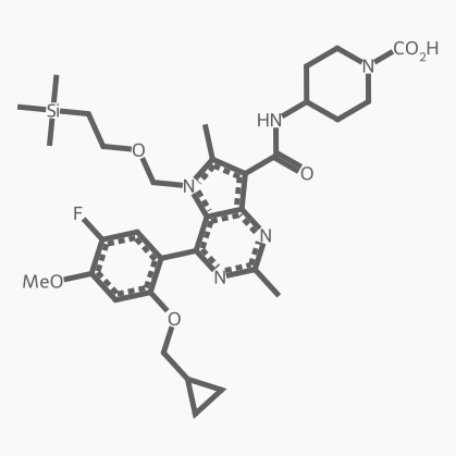 COc1cc(OCC2CC2)c(-c2nc(C)nc3c(C(=O)NC4CCN(C(=O)O)CC4)c(C)n(COCC[Si](C)(C)C)c23)cc1F